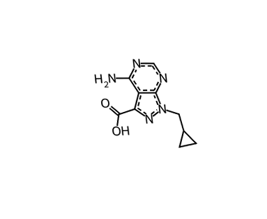 Nc1ncnc2c1c(C(=O)O)nn2CC1CC1